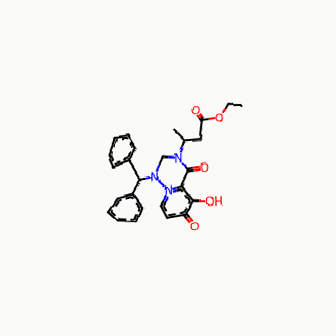 CCOC(=O)CC(C)N1CN(C(c2ccccc2)c2ccccc2)n2ccc(=O)c(O)c2C1=O